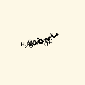 NS(=O)(=O)N1CCN(c2ccc(N3CC(CNC(=S)CC4CC4)OC3=O)cc2F)CC1